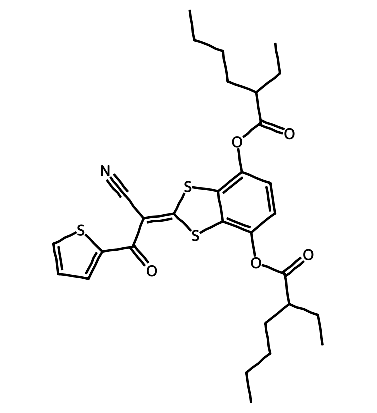 CCCCC(CC)C(=O)Oc1ccc(OC(=O)C(CC)CCCC)c2c1SC(=C(C#N)C(=O)c1cccs1)S2